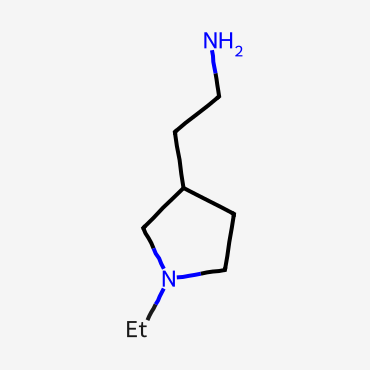 CCN1CCC(CCN)C1